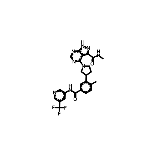 CNC(=O)c1n[nH]c2ncnc(N3CCC(c4cc(C(=O)Nc5cncc(C(F)(F)F)c5)ccc4C)C3)c12